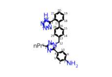 CCCc1nc(-c2ccc(N)cc2)n(Cc2ccc(-c3ccccc3-c3nnn[nH]3)cc2)n1